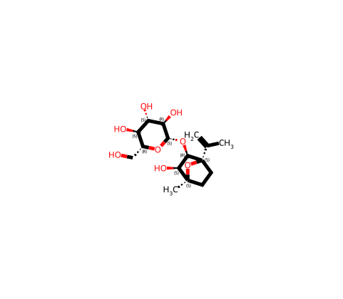 C=C(C)[C@]12CC[C@](C)(O1)[C@@H](O)[C@H]2O[C@@H]1O[C@H](CO)[C@@H](O)[C@H](O)[C@H]1O